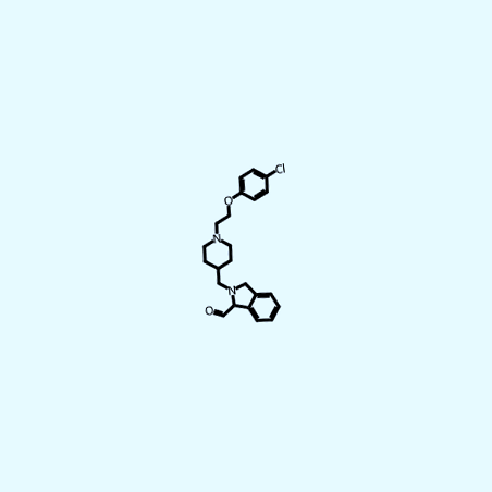 O=CC1c2ccccc2CN1CC1CCN(CCOc2ccc(Cl)cc2)CC1